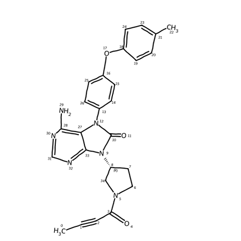 CC#CC(=O)N1CC[C@@H](n2c(=O)n(-c3ccc(Oc4ccc(C)cc4)cc3)c3c(N)ncnc32)C1